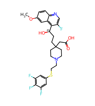 COc1ccc2ncc(F)c([C@H](O)CCC3(CC(=O)O)CCN(CCSc4cc(F)c(F)c(F)c4)CC3)c2c1